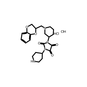 Cl.Cl.O=C1C(=O)N(C2CCCN(CC3COc4ccccc4O3)C2)C(=O)N1C1CCNCC1